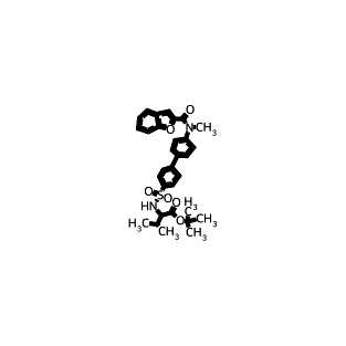 CC(C)C(NS(=O)(=O)c1ccc(-c2ccc(N(C)C(=O)c3cc4ccccc4o3)cc2)cc1)C(=O)OC(C)(C)C